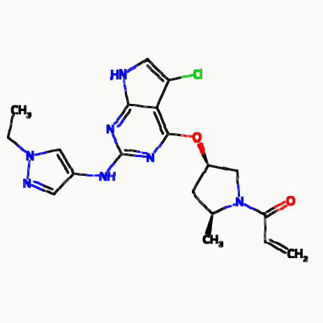 C=CC(=O)N1C[C@H](Oc2nc(Nc3cnn(CC)c3)nc3[nH]cc(Cl)c23)C[C@@H]1C